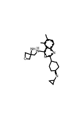 Cc1ccc2nc(C3CCC(=NC4CC4)CC3)nc(NCC3(N)COC3)c2c1C